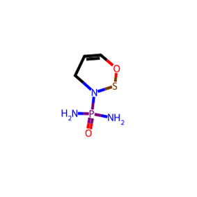 NP(N)(=O)N1CC=COS1